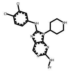 CC(C)Nc1ncc2nc(Nc3ccc(Cl)c(Cl)c3)n(C3CCNCC3)c2n1